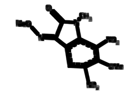 CON=C1C(=O)N(C)c2c1cc([N+](=O)[O-])c(OC)c2[N+](=O)[O-]